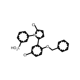 O=C(O)c1cccc(-n2c(Cl)ccc2-c2cc(Cl)ccc2OCc2ccccc2)c1